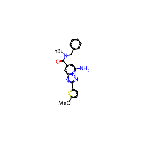 CCCCN(Cc1ccccc1)C(=O)c1cc(N)n2nc(-c3ccc(OC)s3)nc2c1